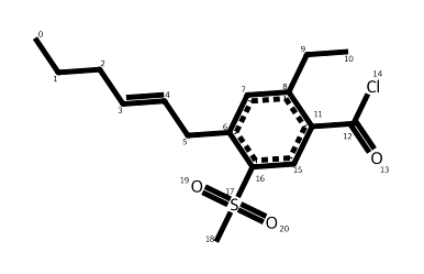 CCCC=CCc1cc(CC)c(C(=O)Cl)cc1S(C)(=O)=O